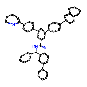 c1ccc(-c2ccc3c(c2)C(c2ccccc2)NC(c2cc(-c4ccc(-c5ccc6ccccc6c5)cc4)cc(-c4ccc(-c5ccccn5)cc4)c2)=N3)cc1